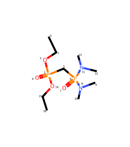 CCOP(=O)(CP(=O)(N(C)C)N(C)C)OCC